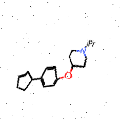 CC(C)N1CCC(Oc2ccc(C3CCCC3)cc2)CC1